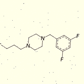 CC(C)CCCN1CCN(Cc2cc(F)cc(F)c2)CC1